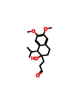 COc1cc2c(cc1OC)[C@H](C(C)C)[C@@](O)(CCC=O)CC2